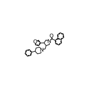 O=C(c1cccc2ccccc12)N1CC(CN2CCC(c3ccccc3)CC2)C(c2ccoc2)C1